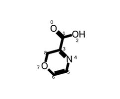 O=C(O)C1=NC=COC1